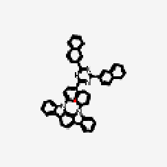 c1ccc(-n2c3ccccc3c3ccc4c5ccccc5n(-c5ccc(-c6nc(-c7ccc8ccccc8c7)nc(-c7ccc8ccccc8c7)n6)cc5)c4c32)cc1